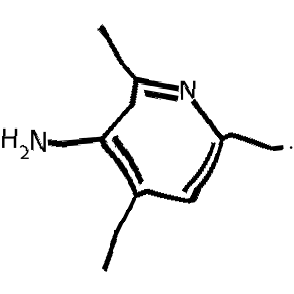 [CH2]c1cc(C)c(N)c(C)n1